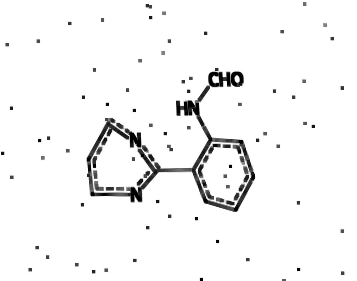 O=CNc1ccccc1-c1ncccn1